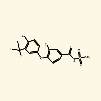 CS(=O)(=O)NC(=O)c1ccc(Oc2ccc(Cl)c(C(F)(F)F)c2)c(Cl)c1